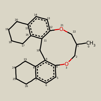 CC1COc2ccc3c(c2Cc2c(ccc4c2CCCC4)OC1)CCCC3